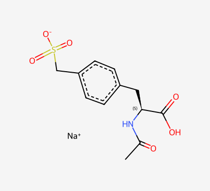 CC(=O)N[C@@H](Cc1ccc(CS(=O)(=O)[O-])cc1)C(=O)O.[Na+]